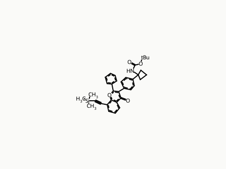 CC(C)(C)OC(=O)NC1(c2ccc(-c3c(-c4ccccc4)oc4c(C#C[Si](C)(C)C)cccc4c3=O)cc2)CCC1